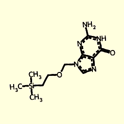 C[Si](C)(C)CCOCn1cnc2c(=O)[nH]c(N)nc21